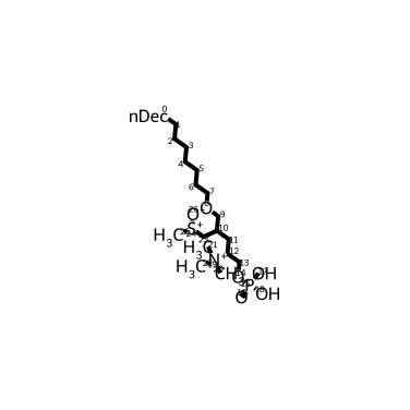 CCCCCCCCCCCCCCCCCOCC(CC(COP(=O)(O)O)[N+](C)(C)C)C[S+](C)[O-]